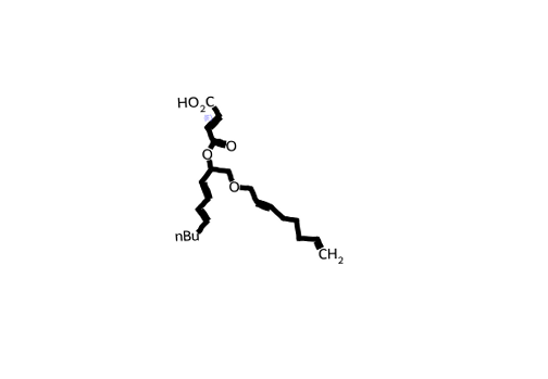 C=CCCCC=CCOCC(C=CC=CCCCC)OC(=O)/C=C/C(=O)O